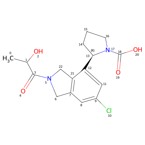 CC(O)C(=O)N1Cc2cc(Cl)cc([C@H]3CCCN3C(=O)O)c2C1